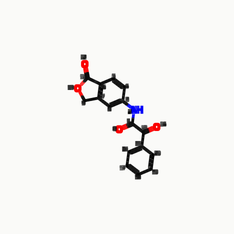 O=C(Nc1ccc2c(c1)COC2=O)C(=O)c1ccccc1